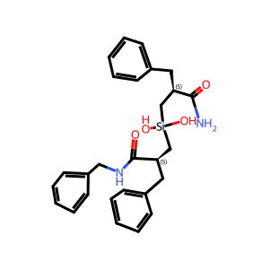 NC(=O)[C@H](Cc1ccccc1)C[Si](O)(O)C[C@@H](Cc1ccccc1)C(=O)NCc1ccccc1